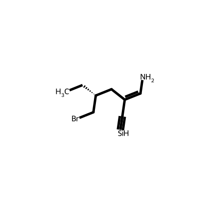 CC[C@@H](CBr)C/C(C#[SiH])=C\N